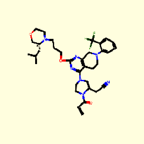 C=CC(=O)N1CCN(c2nc(OCCCN3CCOC[C@H]3CC(C)C)nc3c2CCN(c2ccccc2C(F)(F)F)C3)CC1CC#N